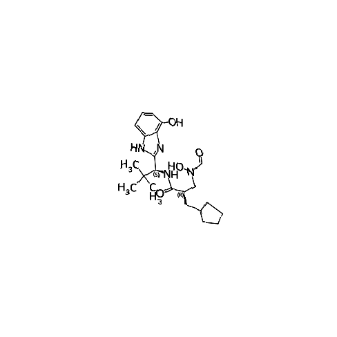 CC(C)(C)[C@H](NC(=O)[C@H](CC1CCCC1)CN(O)C=O)c1nc2c(O)cccc2[nH]1